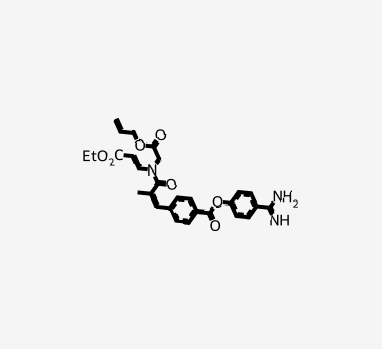 C=CCOC(=O)CN(C=CC(=O)OCC)C(=O)C(C)=Cc1ccc(C(=O)Oc2ccc(C(=N)N)cc2)cc1